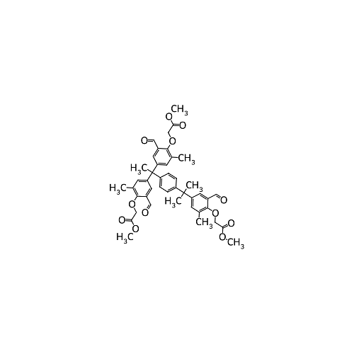 COC(=O)COc1c(C)cc(C(C)(C)c2ccc(C(C)(c3cc(C)c(OCC(=O)OC)c(C=O)c3)c3cc(C)c(OCC(=O)OC)c(C=O)c3)cc2)cc1C=O